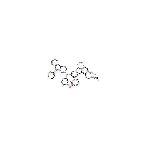 C=C/C=C\c1c(C)cc2cccc3c2c1-c1ccc(N(c2ccc4c5ccccc5n(-c5ccccc5)c4c2)c2cccc4oc5ccccc5c24)cc1-3